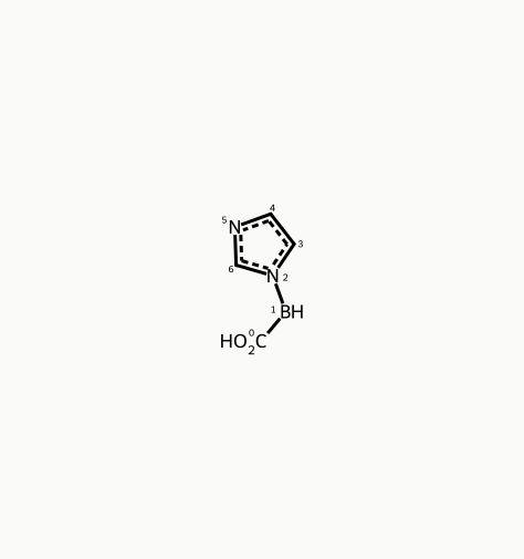 O=C(O)Bn1ccnc1